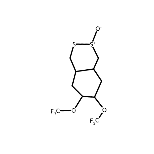 [O-][S+]1CC2CC(OC(F)(F)F)C(OC(F)(F)F)CC2CS1